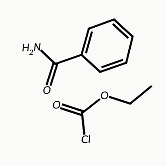 CCOC(=O)Cl.NC(=O)c1ccccc1